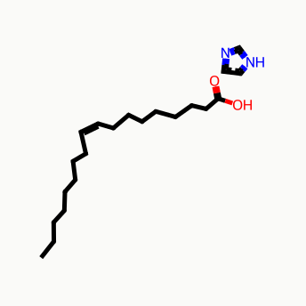 CCCCCCCC/C=C\CCCCCCCC(=O)O.c1c[nH]cn1